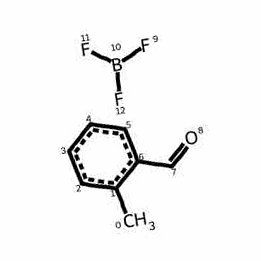 Cc1ccccc1C=O.FB(F)F